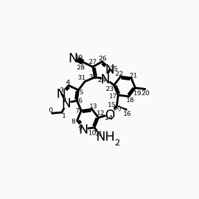 CCn1ncc2c1-c1cnc(N)c(c1)O[C@H](C)c1cc(C)ccc1-n1ncc(C#N)c1C2